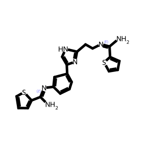 N/C(=N\c1cccc(-c2c[nH]c(CC/N=C(/N)c3cccs3)n2)c1)c1cccs1